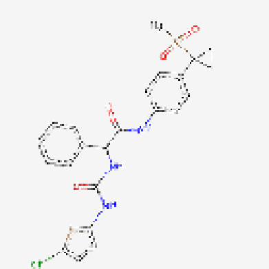 CS(=O)(=O)C1(c2ccc(NC(=O)C(NC(=O)Nc3ccc(Cl)s3)c3ccccc3)cc2)CC1